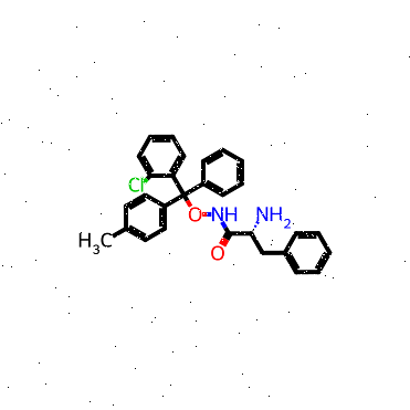 Cc1ccc(C(ONC(=O)[C@H](N)Cc2ccccc2)(c2ccccc2)c2ccccc2Cl)cc1